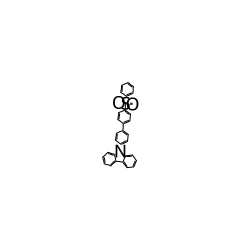 O=S(=O)(c1ccccc1)c1ccc(-c2ccc(-n3c4ccccc4c4ccccc43)cc2)cc1